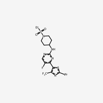 CCS(=O)(=O)N1CCC(Nc2ncc(F)c(-c3sc(C(C)C)nc3C(F)(F)F)n2)CC1